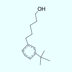 CC(C)(C)c1cccc(CCCCCO)c1